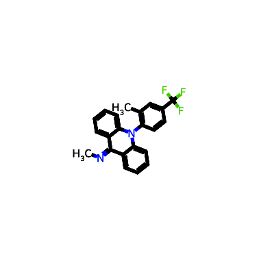 CN=c1c2ccccc2n(-c2ccc(C(F)(F)F)cc2C)c2ccccc12